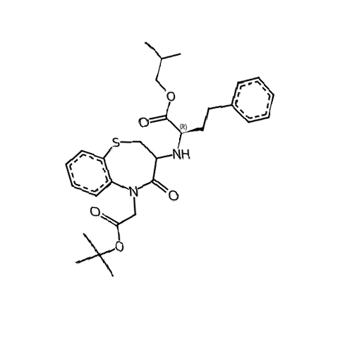 CC(C)COC(=O)[C@@H](CCc1ccccc1)NC1CSc2ccccc2N(CC(=O)OC(C)(C)C)C1=O